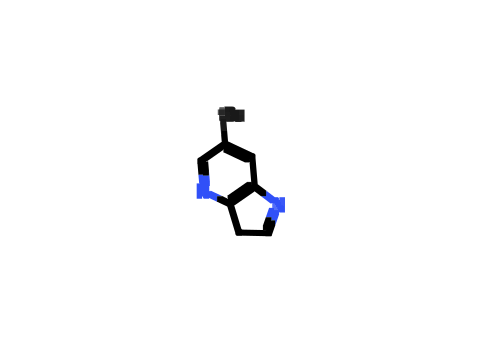 CC(C)(C)c1cnc2c(c1)N=CC2